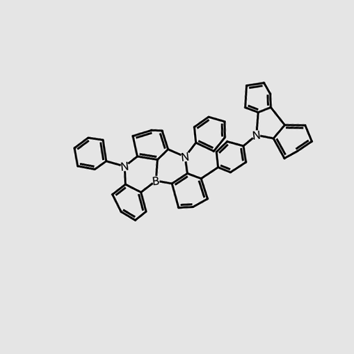 c1ccc(N2c3ccccc3B3c4cccc(-c5ccc(-n6c7ccccc7c7ccccc76)cc5)c4N(c4ccccc4)c4cccc2c43)cc1